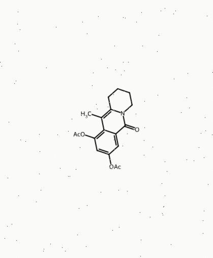 CC(=O)Oc1cc(OC(C)=O)c2c(C)c3n(c(=O)c2c1)CCCC3